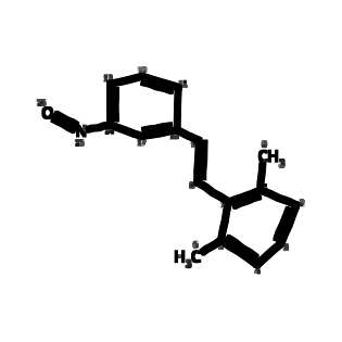 Cc1cccc(C)c1C=Cc1cccc(N=O)c1